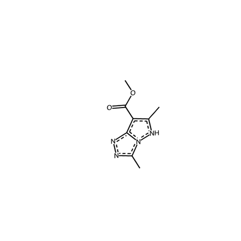 COC(=O)c1c(C)[nH]n2c(C)nnc12